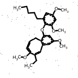 CCCCCc1cc(OC)cc(OC)c1Oc1cc(OC)cc2c1CC=C=C(OC)/C(CC)=C\2